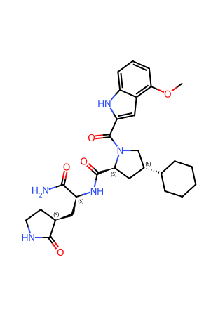 COc1cccc2[nH]c(C(=O)N3C[C@H](C4CCCCC4)C[C@H]3C(=O)N[C@@H](C[C@@H]3CCNC3=O)C(N)=O)cc12